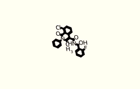 Cc1c(C(=O)N[C@@H](O)c2ccccc2F)c2cccc(Cl)c2c(=O)n1-c1ccccc1